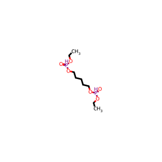 CCO[PH](=O)OCCCCCO[PH](=O)OCC